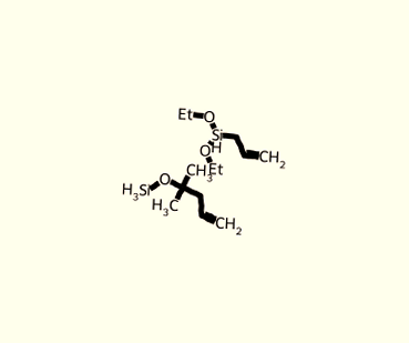 C=CCC(C)(C)O[SiH3].C=CC[SiH](OCC)OCC